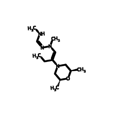 CC/C(=C\N(C)/N=C\NC)N1C[C@@H](C)O[C@H](C)C1